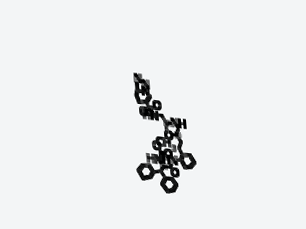 COC(=O)N[C@H](C(=O)Nc1ccccc1CC[C@@H]1CN[C@H](CNS(=O)(=O)c2ccc3cnnn3c2)CO1)C(c1ccccc1)c1ccccc1